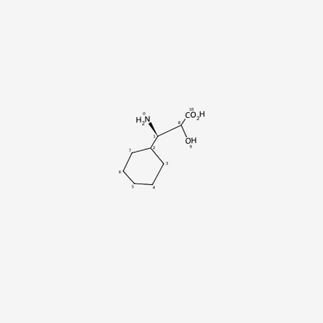 N[C@H](C1CCCCC1)C(O)C(=O)O